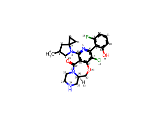 CC1CN(c2nc(-c3c(O)cccc3F)c(Cl)c3c2C(=O)N2CCNC[C@@H]2CO3)C2(CC2)C1